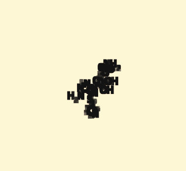 Nc1ncnc2c1c(SCc1cccnc1)nn2[C@@H]1O[C@H](COS(N)(=O)=O)[C@@H](O)[C@H]1O